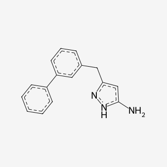 Nc1cc(Cc2cccc(-c3ccccc3)c2)n[nH]1